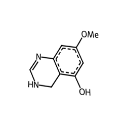 COc1cc(O)c2c(c1)N=CNC2